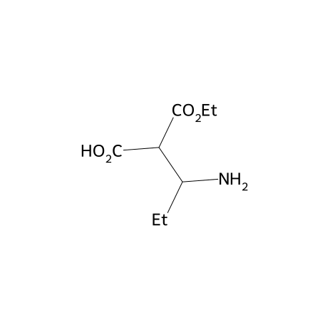 CCOC(=O)C(C(=O)O)C(N)CC